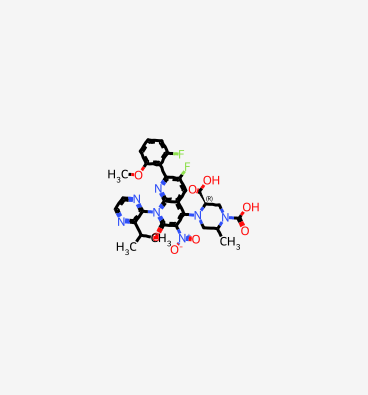 COc1cccc(F)c1-c1nc2c(cc1F)c(N1CC(C)N(C(=O)O)C[C@@H]1C(=O)O)c([N+](=O)[O-])c(=O)n2-c1nccnc1C(C)C